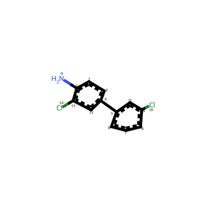 Nc1ccc(-c2cccc(Cl)c2)cc1Cl